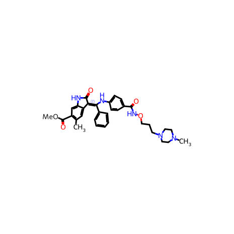 COC(=O)c1cc2c(cc1C)/C(=C(/Nc1ccc(C(=O)NOCCCN3CCN(C)CC3)cc1)c1ccccc1)C(=O)N2